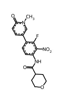 Cn1cc(-c2ccc(NC(=O)C3CCOCC3)c([N+](=O)[O-])c2F)ccc1=O